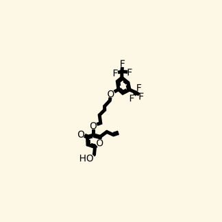 C=CCc1oc(CO)cc(=O)c1OCCCCCOc1cc(C(F)(F)F)cc(C(F)(F)F)c1